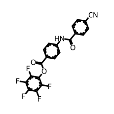 N#Cc1ccc(C(=O)Nc2ccc(C(=O)Oc3c(F)c(F)c(F)c(F)c3F)cc2)cc1